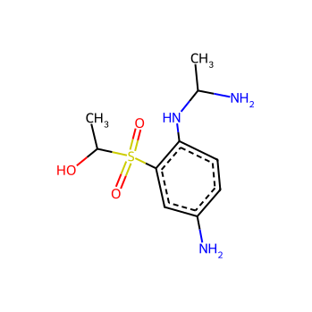 CC(N)Nc1ccc(N)cc1S(=O)(=O)C(C)O